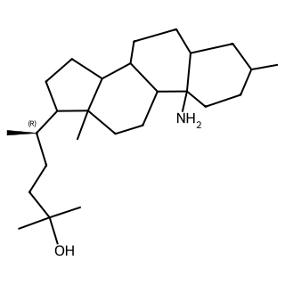 CC1CCC2(N)C(CCC3C4CCC([C@H](C)CCC(C)(C)O)C4(C)CCC32)C1